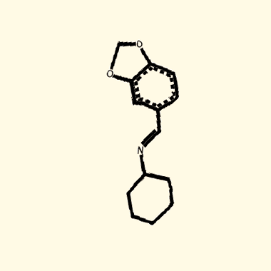 C(=NC1CCCCC1)c1ccc2c(c1)OCO2